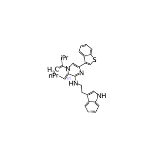 C=C(C(C)C)N1C=C(c2csc3ccccc23)N=C(NCCc2c[nH]c3ccccc23)/C1=C/CCC